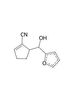 N#CC1=CCCC1C(O)c1ccco1